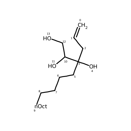 C=CCC(O)(CCCCCCCCCCCC)C(O)CO